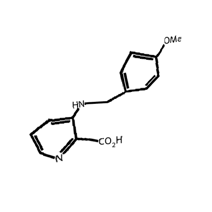 COc1ccc(CNc2cccnc2C(=O)O)cc1